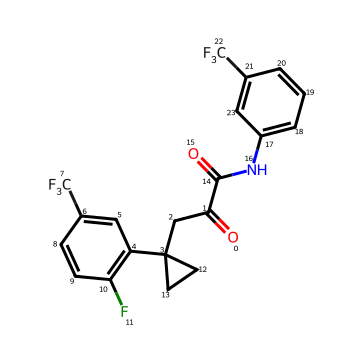 O=C(CC1(c2cc(C(F)(F)F)ccc2F)CC1)C(=O)Nc1cccc(C(F)(F)F)c1